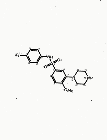 COc1ccc(S(=O)(=O)Nc2ccc(C(C)C)cc2)cc1N1CCNCC1